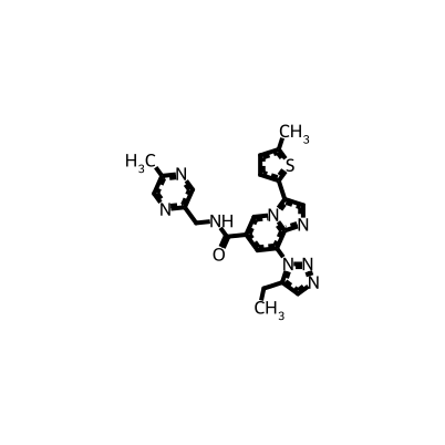 CCc1cnnn1-c1cc(C(=O)NCc2cnc(C)cn2)cn2c(-c3ccc(C)s3)cnc12